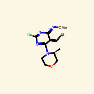 CC/C=C1/C(N2CCOC[C@@H]2C)=NC(Cl)=N/C1=N/OC